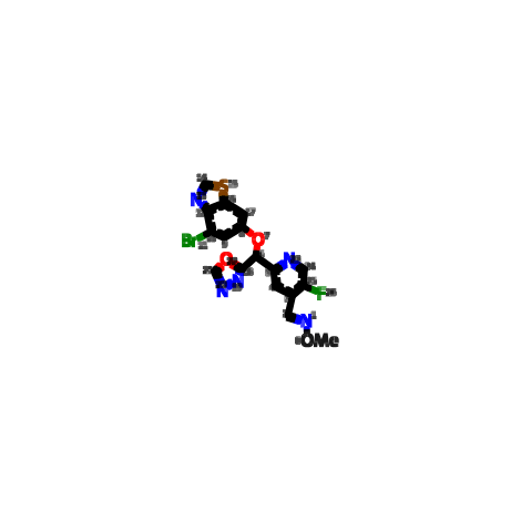 CO/N=C/c1cc(C(Oc2cc(Br)c3ncsc3c2)c2nnco2)ncc1F